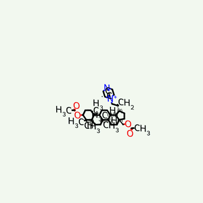 C=C(C[N+]12[CH]CN(CC1)CC2)[C@@H]1CC[C@]2(COC(C)=O)CC[C@]3(C)[C@H](CCC4[C@@]5(C)CCC(OC(C)=O)C(C)(C)[C@@H]5CC[C@]43C)[C@@H]12